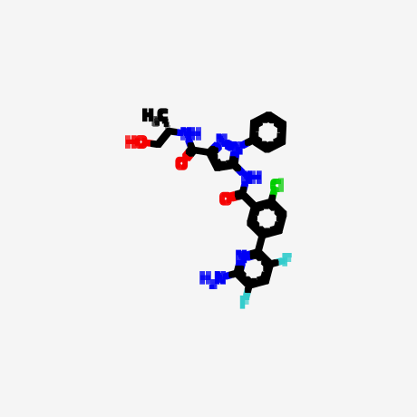 C[C@@H](CO)NC(=O)c1cc(NC(=O)c2cc(-c3nc(N)c(F)cc3F)ccc2Cl)n(-c2ccccc2)n1